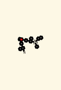 N#Cc1ccc(-c2ccc(C34CC5CC(C3)CC(c3ccc(-c6ccc(-c7nc(-c8ccccc8)nc(-c8ccc9ccccc9c8)n7)c7ccccc67)cc3)(C5)C4)cc2)c2ccccc12